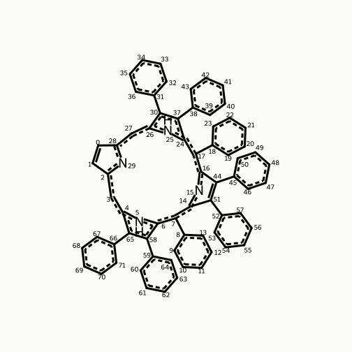 C1=Cc2cc3[nH]c(c(-c4ccccc4)c4nc(c(-c5ccccc5)c5[nH]c(cc1n2)c(-c1ccccc1)c5-c1ccccc1)C(c1ccccc1)=C4c1ccccc1)c(-c1ccccc1)c3-c1ccccc1